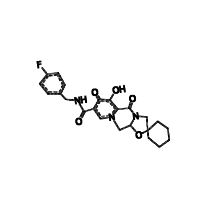 O=C(NCc1ccc(F)cc1)c1cn2c(c(O)c1=O)C(=O)N1CC3(CCCCC3)OC1C2